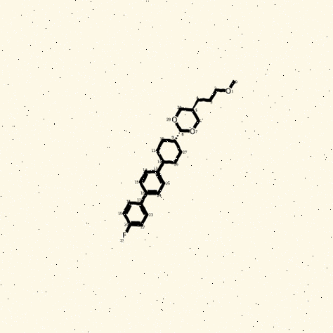 COCCC[C@H]1CO[C@H](C2CCC(c3ccc(-c4ccc(F)cc4)cc3)CC2)OC1